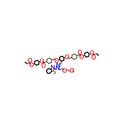 C=CC(=O)Oc1ccc(OC(=O)C2CCC(COc3ccc(OCC4CCC(C(=O)Oc5ccc(OC(=O)C=C)cc5)CC4)c(/C=N/N(CCOCCOC)c4nc5ccccc5s4)c3)CC2)cc1